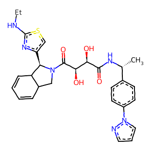 CCNc1nc([C@@H]2C3C=CC=CC3CN2C(=O)[C@H](O)[C@@H](O)C(=O)N[C@H](C)c2ccc(-n3cccn3)cc2)cs1